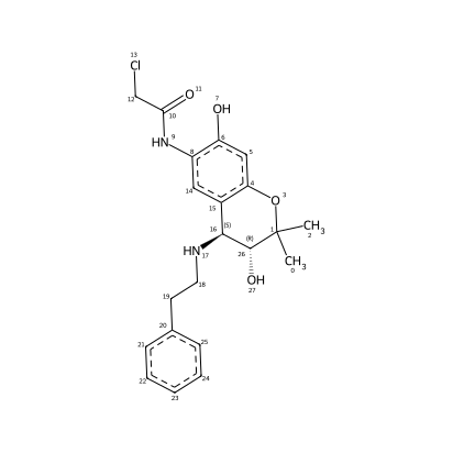 CC1(C)Oc2cc(O)c(NC(=O)CCl)cc2[C@H](NCCc2ccccc2)[C@H]1O